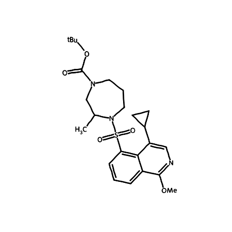 COc1ncc(C2CC2)c2c(S(=O)(=O)N3CCCN(C(=O)OC(C)(C)C)CC3C)cccc12